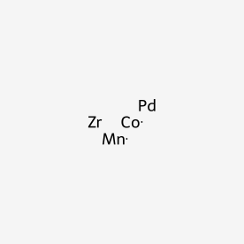 [Co].[Mn].[Pd].[Zr]